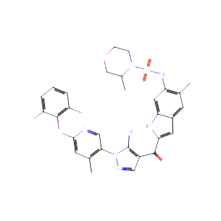 Cc1cc2cc(C(=O)c3cnn(-c4cnc(Oc5c(F)cccc5F)cc4C)c3N)[nH]c2cc1NS(=O)(=O)N1CCOCC1C